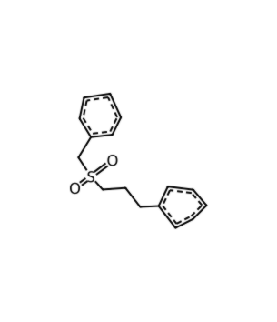 O=S(=O)(CCCc1ccccc1)Cc1ccccc1